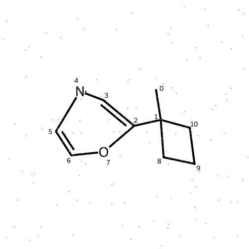 CC1(C2=C[N]C=CO2)CCC1